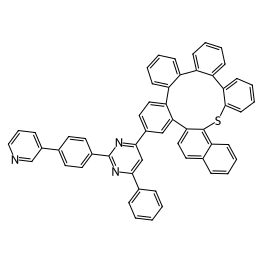 c1ccc(-c2cc(-c3ccc4c(c3)-c3ccc5ccccc5c3Sc3ccccc3-c3ccccc3-c3ccccc3-4)nc(-c3ccc(-c4cccnc4)cc3)n2)cc1